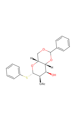 CC(=O)O[C@@H]1[C@H](O)[C@H]2OC(c3ccccc3)OC[C@H]2O[C@H]1Sc1ccccc1